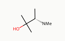 CN[C@@H](C)C(C)(C)O